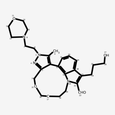 Cc1c2c(nn1CCN1CCOCC1)COCCCCn1c(C=O)c(CCCO)c3cccc-2c31